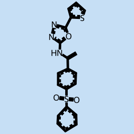 C=C(Nc1nnc(-c2cccs2)o1)c1ccc(S(=O)(=O)c2ccccc2)cc1